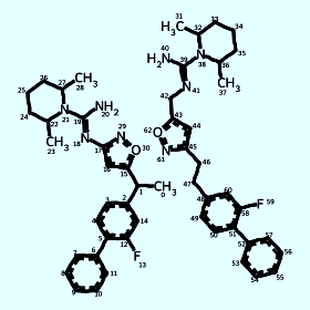 CC(c1ccc(-c2ccccc2)c(F)c1)c1cc(N=C(N)N2C(C)CCCC2C)no1.CC1CCCC(C)N1C(N)=NCc1cc(CCc2ccc(-c3ccccc3)c(F)c2)no1